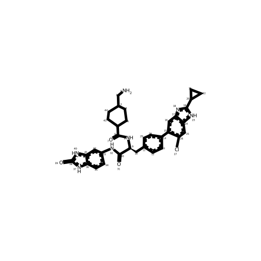 NCC1CCC(C(=O)N[C@@H](Cc2ccc(-c3cc4nc(C5CC5)[nH]c4cc3Cl)cc2)C(=O)Nc2ccc3[nH]c(=O)[nH]c3c2)CC1